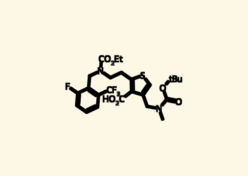 CCOC(=O)N(CCc1scc(CN(C)C(=O)OC(C)(C)C)c1C(=O)O)Cc1c(F)cccc1C(F)(F)F